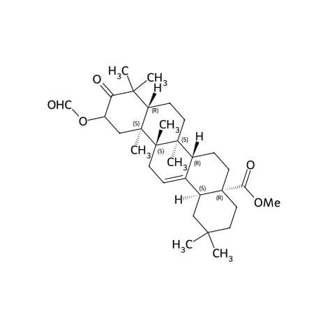 COC(=O)[C@@]12CC[C@@H]3C(=CC[C@@]4(C)[C@@]3(C)CC[C@H]3C(C)(C)C(=O)C(OC=O)C[C@@]34C)[C@@H]1CC(C)(C)CC2